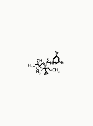 CCCC1(C2CC2)SC(C)(C(C)C)CN1C(=S)Nc1cc(Br)cc(Br)c1